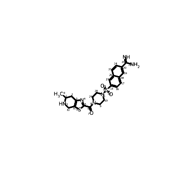 CC1Cc2nc(C(=O)N3CCN(S(=O)(=O)c4ccc5cc(C(=N)N)ccc5c4)CC3)sc2CN1